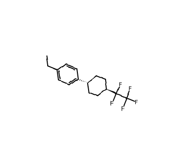 CCc1ccc([C@H]2CC[C@H](C(F)(F)C(F)(F)F)CC2)cc1